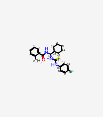 Cc1ccccc1C(=O)NC(NC(=S)Nc1ccc(F)cc1)C1CCCCC1